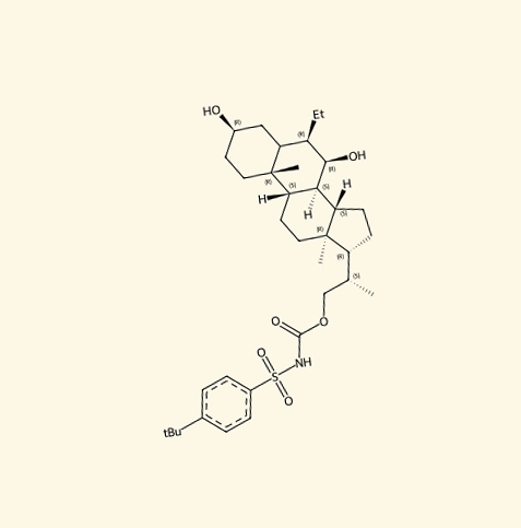 CC[C@@H]1C2C[C@H](O)CC[C@@]2(C)[C@H]2CC[C@]3(C)[C@@H]([C@H](C)COC(=O)NS(=O)(=O)c4ccc(C(C)(C)C)cc4)CC[C@H]3[C@@H]2[C@@H]1O